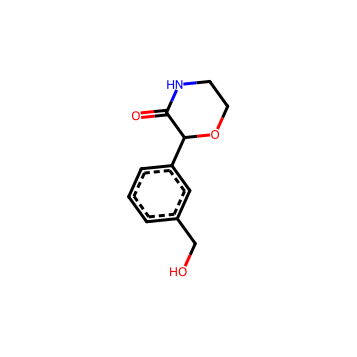 O=C1NCCOC1c1cccc(CO)c1